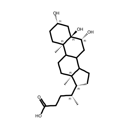 C[C@H](CCC(=O)O)[C@H]1CCC2C3C[C@@H](O)[C@@]4(O)C[C@@H](O)CC[C@]4(C)C3CC[C@@]21C